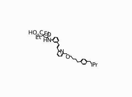 CCC(CC)(CC(=O)Nc1cccc(C=Cc2cccc(COCCCCc3ccc(CC(C)C)cc3)n2)c1)C(=O)O